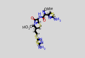 CON=C(C(=O)NC1C(=O)N2C(C(=O)O)=C(C=CSc3nnc(N)s3)CSC12)c1csc(N)n1